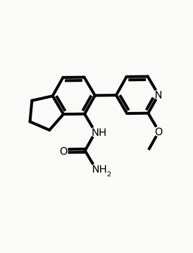 COc1cc(-c2ccc3c(c2NC(N)=O)CCC3)ccn1